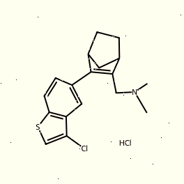 CN(C)CC1=C(c2ccc3scc(Cl)c3c2)C2CCC1C2.Cl